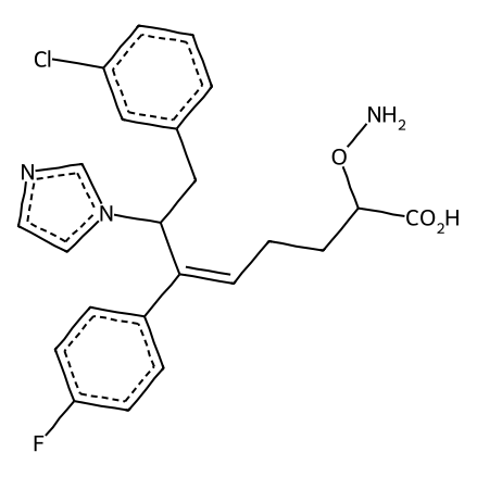 NOC(CCC=C(c1ccc(F)cc1)C(Cc1cccc(Cl)c1)n1ccnc1)C(=O)O